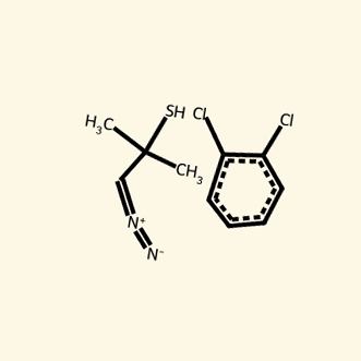 CC(C)(S)C=[N+]=[N-].Clc1ccccc1Cl